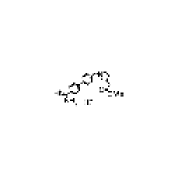 COC(=O)CC1CCN(Cc2ccc(-c3ccc(C(=N)N)cc3)cc2)C1.Cl